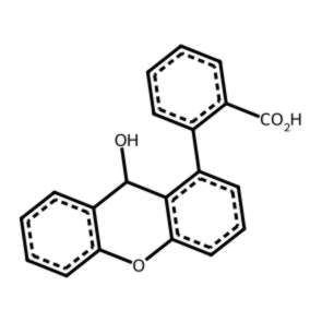 O=C(O)c1ccccc1-c1cccc2c1C(O)c1ccccc1O2